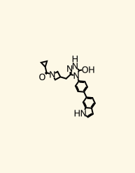 O=C(C1CC1)N1CC(CC2=NNC(O)N2c2ccc(-c3ccc4cc[nH]c4c3)cc2)C1